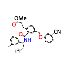 COC(=O)CCc1ccc(COc2cccc(C#N)c2)cc1C(=O)NC(CC(C)C)c1cccc(C)c1